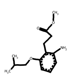 COC(=O)CCc1c(N)cccc1OCC(C)C